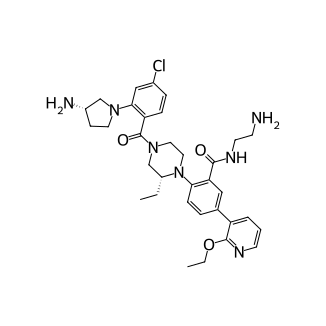 CCOc1ncccc1-c1ccc(N2CCN(C(=O)c3ccc(Cl)cc3N3CC[C@H](N)C3)C[C@H]2CC)c(C(=O)NCCN)c1